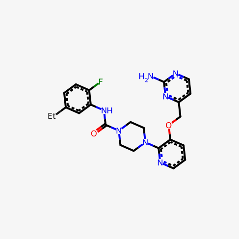 CCc1ccc(F)c(NC(=O)N2CCN(c3ncccc3OCc3ccnc(N)n3)CC2)c1